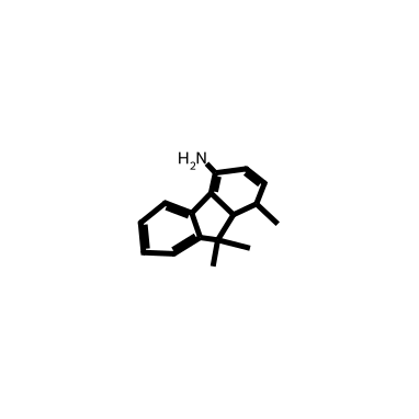 CC1C=CC(N)=C2c3ccccc3C(C)(C)C21